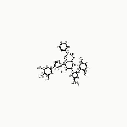 Cc1nc(C2OC3COC(c4ccccc4)OC3C(n3cc(-c4cc(F)c(Cl)c(F)c4)nn3)C2O)n(-c2cc(Cl)ccc2Cl)n1